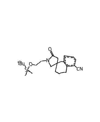 CC(C)(C)[Si](C)(C)OCCN1CC2(CCCc3c(C#N)cccc32)CC1=O